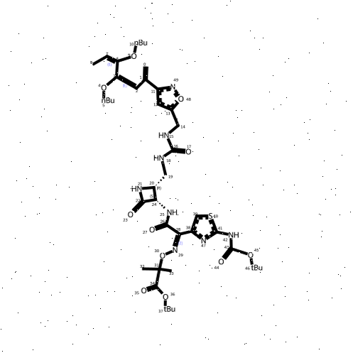 C=C(/C=C(OCCCC)\C(=C/C)OCCCC)c1cc(CNC(=O)NC[C@H]2NC(=O)[C@H]2NC(=O)/C(=N\OC(C)(C)C(=O)OC(C)(C)C)c2csc(NC(=O)OC(C)(C)C)n2)on1